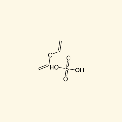 C=COC=C.O=S(=O)(O)O